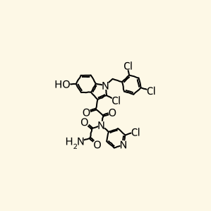 NC(=O)C(=O)N(C(=O)C(=O)c1c(Cl)n(Cc2ccc(Cl)cc2Cl)c2ccc(O)cc12)c1ccnc(Cl)c1